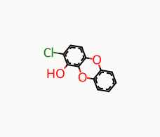 Oc1c(Cl)ccc2c1Oc1ccccc1O2